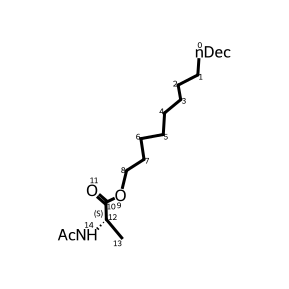 CCCCCCCCCCCCCCCCCCOC(=O)[C@H](C)NC(C)=O